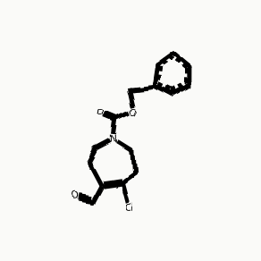 O=CC1=C(Cl)CCN(C(=O)OCc2ccccc2)CC1